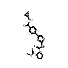 COC(=O)[C@H]1CCC[C@@H]1C(=O)Nc1nc(-c2ccc(C(=O)NC3CC3)cc2)cs1